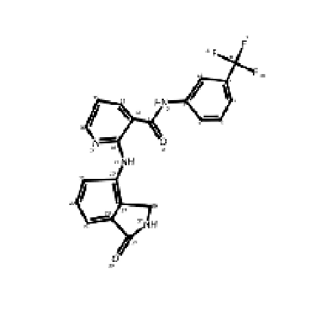 O=C(Nc1cccc(C(F)(F)F)c1)c1cccnc1Nc1cccc2c1CNC2=O